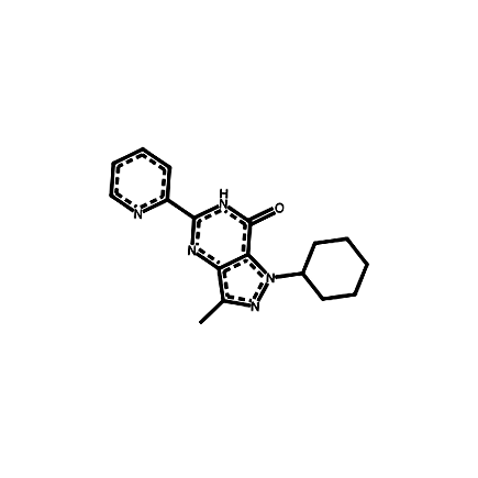 Cc1nn(C2CCCCC2)c2c(=O)[nH]c(-c3ccccn3)nc12